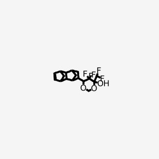 OC1(C(F)(F)F)OCOC(C2CC3CC2C2C4C=CC(C4)C32)C1(F)F